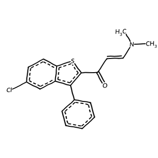 CN(C)C=CC(=O)c1sc2ccc(Cl)cc2c1-c1ccccc1